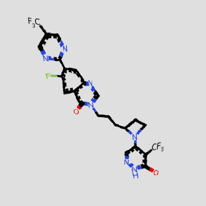 O=c1[nH]ncc(N2CCC2CCCn2cnc3cc(-c4ncc(C(F)(F)F)cn4)c(F)cc3c2=O)c1C(F)(F)F